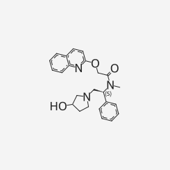 CN(C(=O)COc1ccc2ccccc2n1)[C@H](CN1CCC(O)C1)c1ccccc1